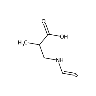 CC(CNC=S)C(=O)O